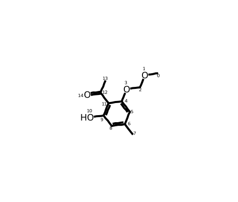 COCOc1cc(C)cc(O)c1C(C)=O